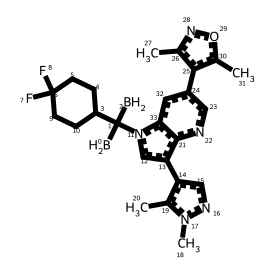 BC(B)(C1CCC(F)(F)CC1)n1cc(-c2cnn(C)c2C)c2ncc(-c3c(C)noc3C)cc21